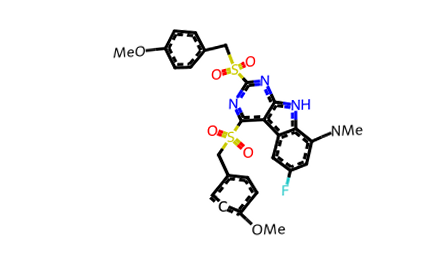 CNc1cc(F)cc2c1[nH]c1nc(S(=O)(=O)Cc3ccc(OC)cc3)nc(S(=O)(=O)Cc3ccc(OC)cc3)c12